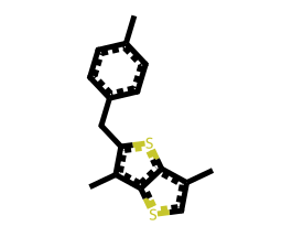 Cc1ccc(Cc2sc3c(C)csc3c2C)cc1